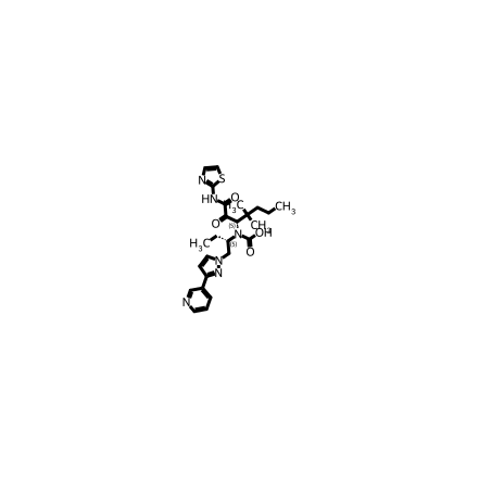 CCCC(C)(C)[C@@H](C(=O)C(=O)Nc1nccs1)N(C(=O)O)[C@@H](CC)Cn1ccc(-c2cccnc2)n1